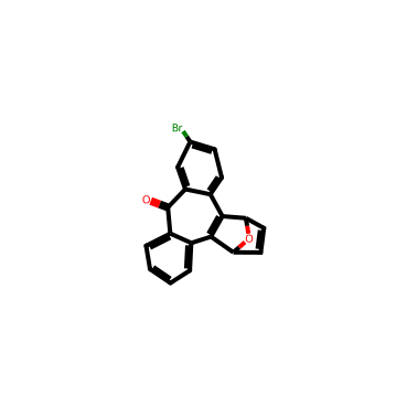 O=c1c2ccccc2c2c(c3ccc(Br)cc13)C1C=CC2O1